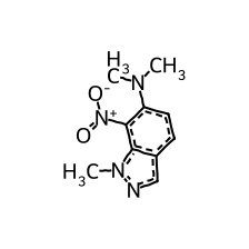 CN(C)c1ccc2cnn(C)c2c1[N+](=O)[O-]